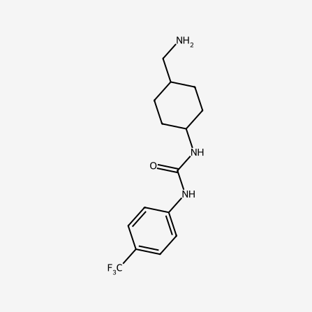 NCC1CCC(NC(=O)Nc2ccc(C(F)(F)F)cc2)CC1